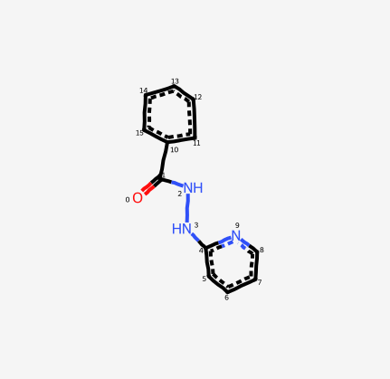 O=C(NNc1ccccn1)c1ccccc1